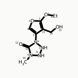 CCOc1occ(N2NNN(C)C2=O)c1CO